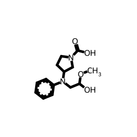 COC(O)CN(c1ccccc1)C1CCN(C(=O)O)C1